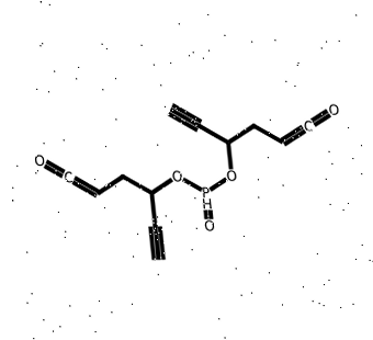 C#CC(CC=C=O)O[PH](=O)OC(C#C)CC=C=O